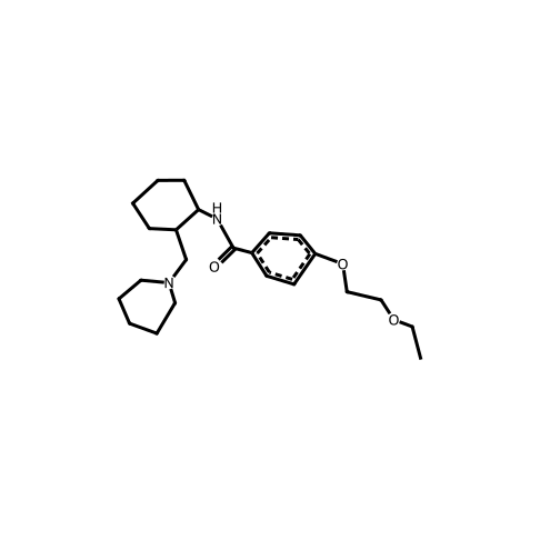 CCOCCOc1ccc(C(=O)NC2CCCCC2CN2CCCCC2)cc1